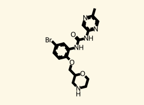 Cc1cnc(NC(=O)Nc2cc(Br)ccc2OCC2CNCCO2)cn1